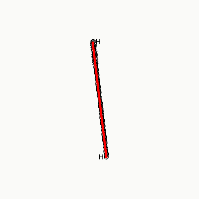 OCCOCCOCCOCCOCCOCCOCCOCCOCCOCCOCCOCCOCCOCCOCCOCCOCCOCCOCCOCCSCCSCCOCCOCCOCCOCCOCCOCCOCCOCCOCCOCCOCCOCCOCCOCCOCCOCCOCCOCCOCCO